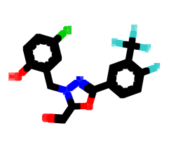 O=CC1OC(c2ccc(F)c(C(F)(F)F)c2)=NN1Cc1cc(Cl)ccc1O